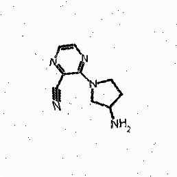 N#Cc1nccnc1N1CCC(N)C1